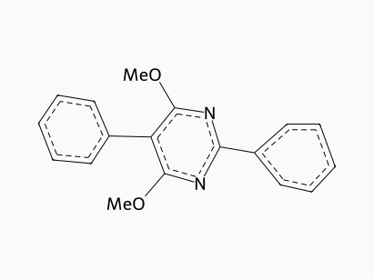 COc1nc(-c2ccccc2)nc(OC)c1-c1ccccc1